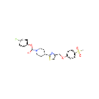 CS(=O)(=O)c1ccc(OCc2csc(C3CCN(C(=O)Oc4ccc(F)cc4)CC3)n2)cc1